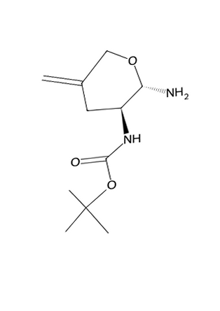 C=C1CO[C@H](N)[C@@H](NC(=O)OC(C)(C)C)C1